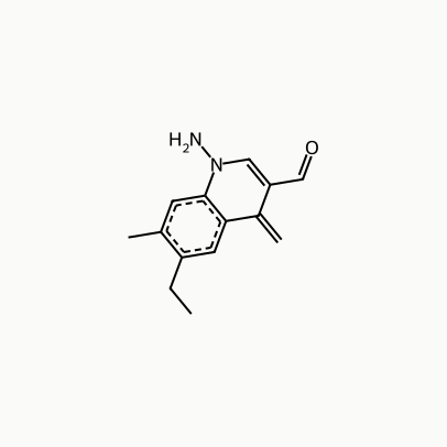 C=C1C(C=O)=CN(N)c2cc(C)c(CC)cc21